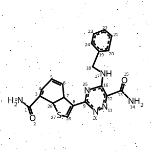 NC(=O)C1=CC=CC2C(c3nnc(C(N)=O)c(NCc4ccccc4)n3)=CSC12